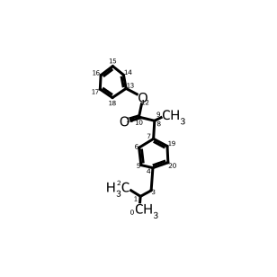 CC(C)Cc1ccc(C(C)C(=O)Oc2ccccc2)cc1